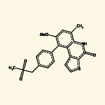 COc1cc(C)c2[nH]c(=O)c3sccc3c2c1-c1ccc(CS(C)(=O)=O)cc1